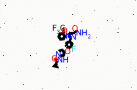 NC(=O)c1cn(-c2ccccc2OC(F)(F)F)c(-c2ccc(Oc3ccnc(NC(=O)C4CC4)c3)c(F)c2)n1